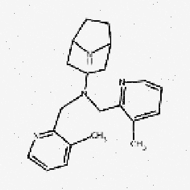 Cc1cccnc1CN(Cc1ncccc1C)C1CC2CCC(C1)N2